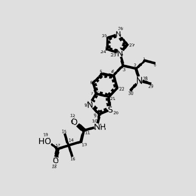 CCC(C(c1ccc2nc(NC(=O)CC(C)(C)C(=O)O)sc2c1)n1ccnc1)N(C)C